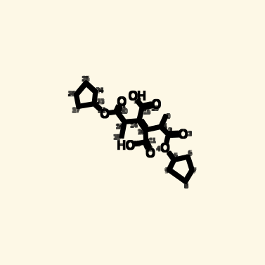 CC(C(=O)OC1CCCC1)C(C(=O)O)=C(C(=O)O)C(C)C(=O)OC1CCCC1